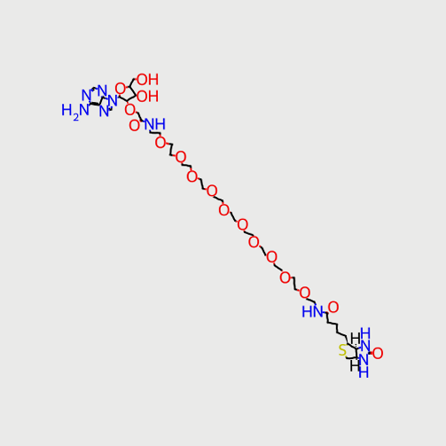 Nc1ncnc2c1ncn2[C@@H]1OC(CO)[C@@H](O)[C@H]1OCC(=O)NCCOCCOCCOCCOCCOCCOCCOCCOCCOCCOCCNC(=O)CCCC[C@@H]1SC[C@@H]2NC(=O)N[C@@H]21